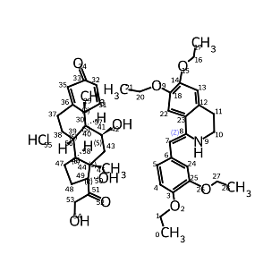 CCOc1ccc(/C=C2\NCCc3cc(OCC)c(OCC)cc32)cc1OCC.C[C@]12C=CC(=O)C=C1CC[C@@H]1[C@@H]2[C@@H](O)C[C@@]2(C)[C@H]1CC[C@]2(O)C(=O)CO.Cl